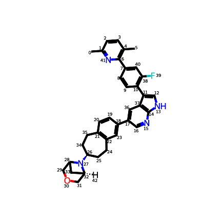 Cc1ccc(C)c(-c2ccc(-c3c[nH]c4ncc(-c5ccc6c(c5)CC[C@@H](N5C7COC[C@H]5C7)CC6)cc34)c(F)c2)n1